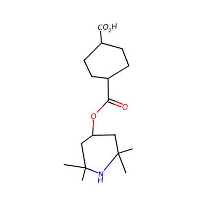 CC1(C)CC(OC(=O)C2CCC(C(=O)O)CC2)CC(C)(C)N1